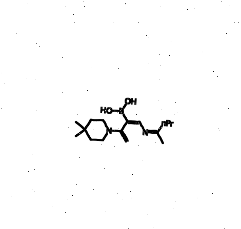 C=C(/C(=C\N=C(\C)CCC)B(O)O)N1CCC(C)(C)CC1